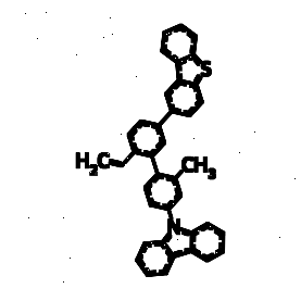 C=Cc1ccc(-c2ccc3sc4ccccc4c3c2)cc1-c1ccc(-n2c3ccccc3c3ccccc32)cc1C